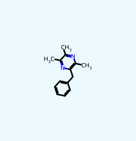 Cc1nc(C)c(Cc2ccccc2)nc1C